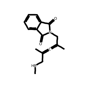 CBCC(C)=C=C(C)CN1C(=O)c2ccccc2C1=O